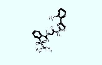 Cc1ccccc1-c1csc(NC(=O)CNC(=O)c2ccccc2S(=O)(=O)N(C)C)n1